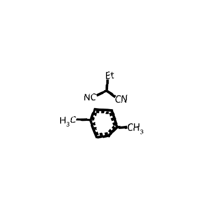 CCC(C#N)C#N.Cc1ccc(C)cc1